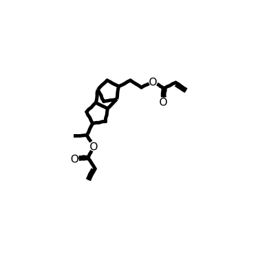 C=CC(=O)OCCC1CC2CC1C1CC(C(C)OC(=O)C=C)CC21